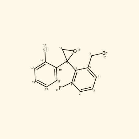 Fc1cccc(CBr)c1C1(c2ccccc2Cl)CO1